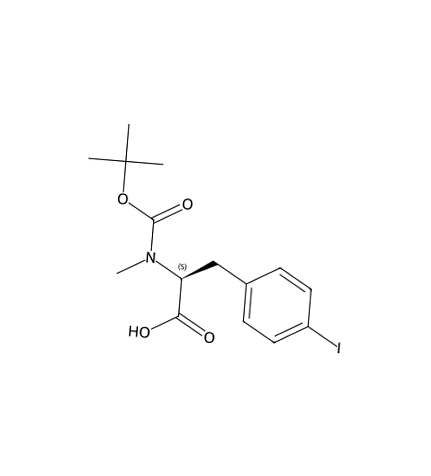 CN(C(=O)OC(C)(C)C)[C@@H](Cc1ccc(I)cc1)C(=O)O